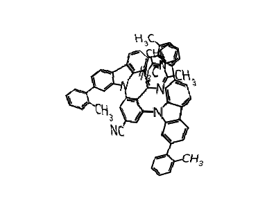 Cc1nc(C)nc(-c2c(-n3c4cc(-c5ccccc5C)ccc4c4ccc(-c5ccccc5C)cc43)cc(C#N)cc2-n2c3cc(-c4ccccc4C)ccc3c3ccc(-c4ccccc4C)cc32)n1